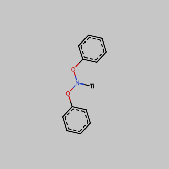 [Ti][N](Oc1ccccc1)Oc1ccccc1